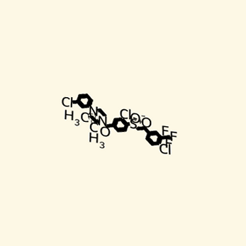 C[C@H]1[C@H](C)N(c2cccc(Cl)c2)CCN1C(=O)c1ccc([S+]([O-])CC(=O)c2ccc(Cl)c(C(F)(F)F)c2)c(Cl)c1